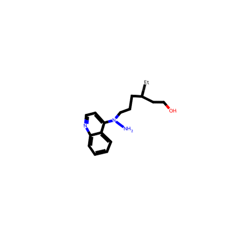 CCC(CCO)CCCN(N)c1ccnc2ccccc12